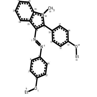 CCOc1ccc(N=Nc2c(-c3ccc(OCC)cc3)n(C)c3ccccc23)cc1